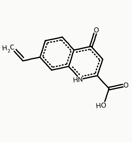 C=Cc1ccc2c(=O)cc(C(=O)O)[nH]c2c1